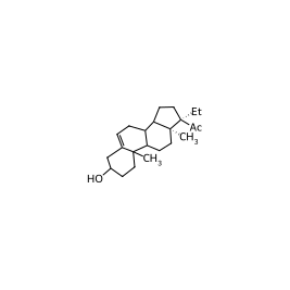 CC[C@@]1(C(C)=O)CCC2C3CC=C4CC(O)CCC4(C)C3CC[C@@]21C